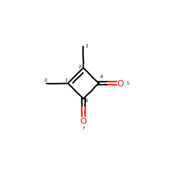 Cc1c(C)c(=O)c1=O